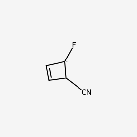 N#CC1C=C[C]1F